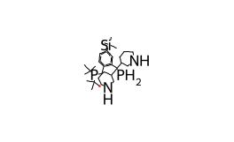 CC(C)(C)P(Cc1ccc([Si](C)(C)C)cc1C(P)(C1CCCNC1)C1CCCNC1)C(C)(C)C